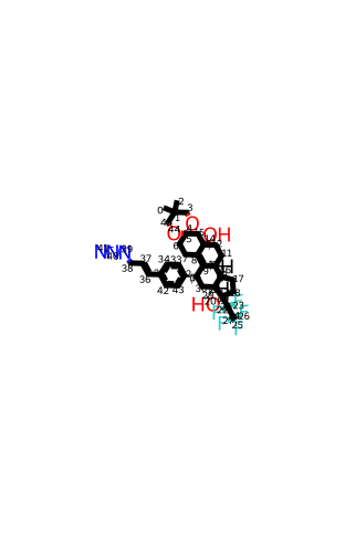 CC1(C)COC2(CCC3=C4[C@@H](CC[C@@]3(O)C2)[C@@H]2CC[C@@](O)(C(F)(F)C(F)(F)F)[C@@]2(C)C[C@@H]4c2ccc(C=CCN=[N+]=[N-])cc2)OC1